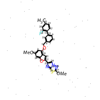 COc1cc(OCc2cccc(-c3ccc(C)cc3F)c2)c2cc(-c3cn4nc(OC)sc4n3)oc2c1